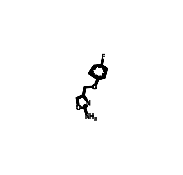 NC1=NC(COc2ccc(F)cc2)CO1